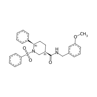 COc1cccc(CNC(=O)[C@@H]2CC[C@H](c3ccccc3)N(S(=O)(=O)c3ccccc3)C2)c1